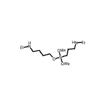 CCNCCCCO[Si](CCCNCC)(OC)OC